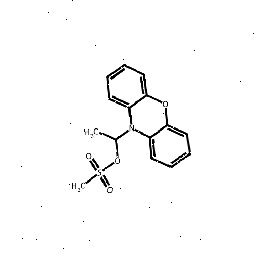 CC(OS(C)(=O)=O)N1c2ccccc2Oc2ccccc21